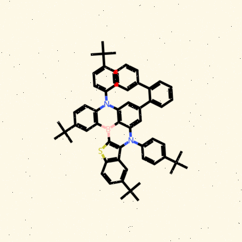 CC(C)(C)c1ccc(N2c3ccc(C(C)(C)C)cc3B3c4sc5ccc(C(C)(C)C)cc5c4N(c4ccc(C(C)(C)C)cc4)c4cc(-c5ccccc5-c5ccccc5)cc2c43)cc1